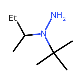 CCC(C)N(N)C(C)(C)C